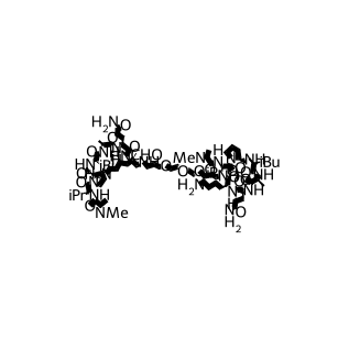 CC[C@H](C)[C@H](NC(=O)[C@@H]1CCCN1C(=O)[C@@H](NC(=O)[C@H](C)NC)C(C)C)C(=O)N[C@@H](C)C(=O)N[C@@H](CCC(N)=O)C(=O)N[C@@H](CCCCN)C(=O)NCCCOCCOCCOCCCNC[C@@](C=O)(CCCCN)NC(=O)[C@H](CCC(N)=O)NC(=O)[C@H](C)NC(=O)[C@@H](NC(=O)[C@@H]1CCCN1C(=O)[C@@H](NC(=O)[C@H](C)NC)C(C)C)[C@@H](C)CC